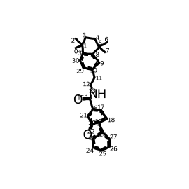 CC1(C)CCC(C)(C)c2cc(CCNC(=O)c3ccc4c(c3)oc3ccccc34)ccc21